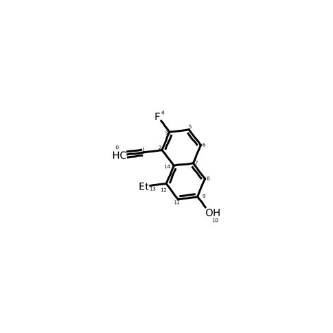 C#Cc1c(F)ccc2cc(O)cc(CC)c12